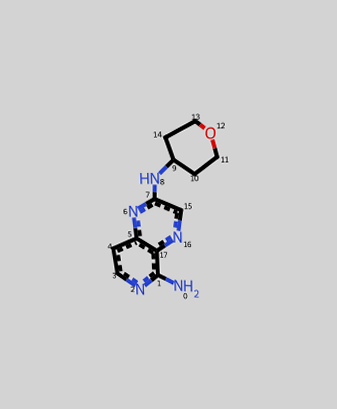 Nc1nccc2nc(NC3CCOCC3)cnc12